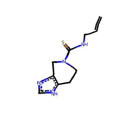 C=CCNC(=S)N1CCc2[nH]cnc2C1